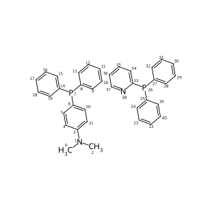 CN(C)c1ccc(P(c2ccccc2)c2ccccc2)cc1.c1ccc(P(c2ccccc2)c2ccccn2)cc1